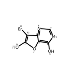 Oc1oc2c(O)ncnc2c1Br